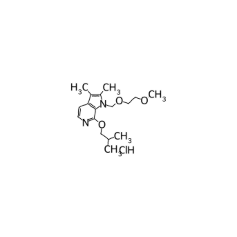 COCCOCn1c(C)c(C)c2ccnc(OCC(C)C)c21.Cl